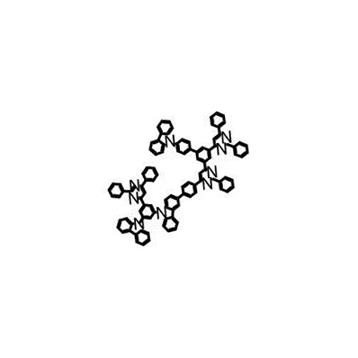 c1ccc(-c2cc(-c3cc(-c4ccc(-n5c6ccccc6c6ccccc65)cc4)cc(-c4cc(-c5ccc(-c6ccc7c(c6)c6ccccc6n7-c6cc(-c7cc(-c8ccccc8)nc(-c8ccccc8)n7)cc(-n7c8ccccc8c8ccccc87)c6)cc5)nc(-c5ccccc5)n4)c3)nc(-c3ccccc3)n2)cc1